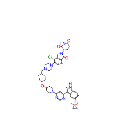 CC1(Oc2ccc3[nH]nc(-c4cc(N5CCC(O[C@H]6CC[C@H](CN7CCN(c8ccc9c(c8Cl)CN(C8CCC(=O)NC8=O)C9=O)CC7)CC6)CC5)ncn4)c3c2)CC1